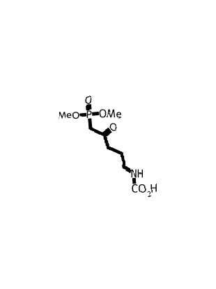 COP(=O)(CC(=O)CCCNC(=O)O)OC